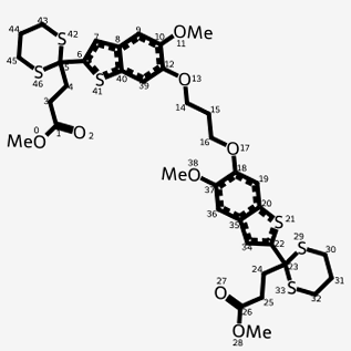 COC(=O)CCC1(c2cc3cc(OC)c(OCCCOc4cc5sc(C6(CCC(=O)OC)SCCCS6)cc5cc4OC)cc3s2)SCCCS1